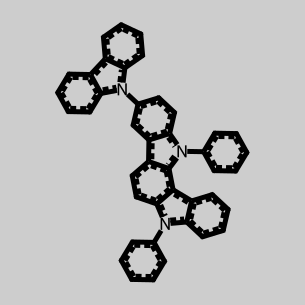 c1ccc(-n2c3ccccc3c3c2ccc2c4cc(-n5c6ccccc6c6ccccc65)ccc4n(-c4ccccc4)c23)cc1